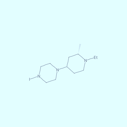 CCN1CCC(N2CCN(I)CC2)C[C@@H]1C